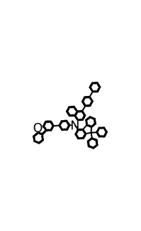 c1ccc(-c2ccc(-c3ccc(N(c4ccc(-c5ccc6oc7ccccc7c6c5)cc4)c4cccc5c4-c4ccccc4C5(c4ccccc4)c4ccccc4)c4ccccc34)cc2)cc1